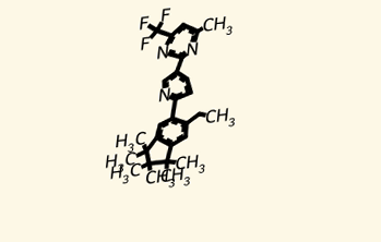 CCc1cc2c(cc1-c1ccc(-c3nc(C)cc(C(F)(F)F)n3)cn1)C(C)(C)C(C)(C)C2(C)C